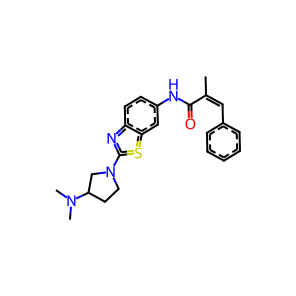 C/C(=C/c1ccccc1)C(=O)Nc1ccc2nc(N3CCC(N(C)C)C3)sc2c1